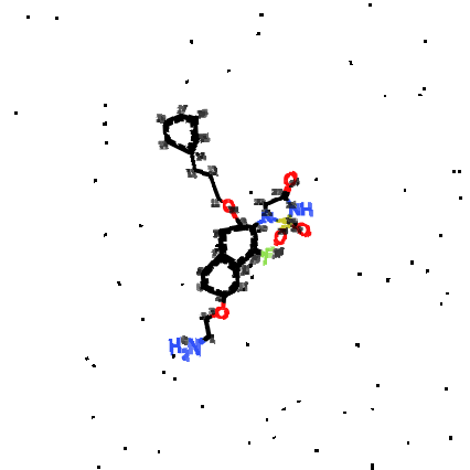 NCCOc1ccc2cc(OCCCc3ccccc3)c(N3CC(=O)NS3(=O)=O)c(F)c2c1